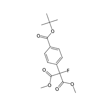 COC(=O)C(F)(C(=O)OC)c1ccc(C(=O)OC(C)(C)C)cc1